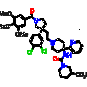 COc1cc(C(=O)N2CCC(CCN3CCC(NC(=O)N4CCCC(C(=O)O)C4)(c4ccccn4)CC3)(c3ccc(Cl)c(Cl)c3)C2)cc(OC)c1OC